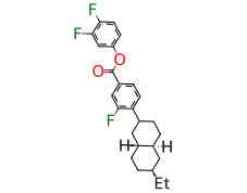 CC[C@H]1CC[C@@H]2CC(c3ccc(C(=O)Oc4ccc(F)c(F)c4)cc3F)CC[C@H]2C1